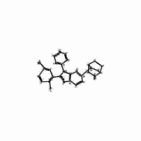 Fc1ccc(Cl)cc1-c1nc2ccc(N3CC4CCC3CN4)nc2n1-c1ccncn1